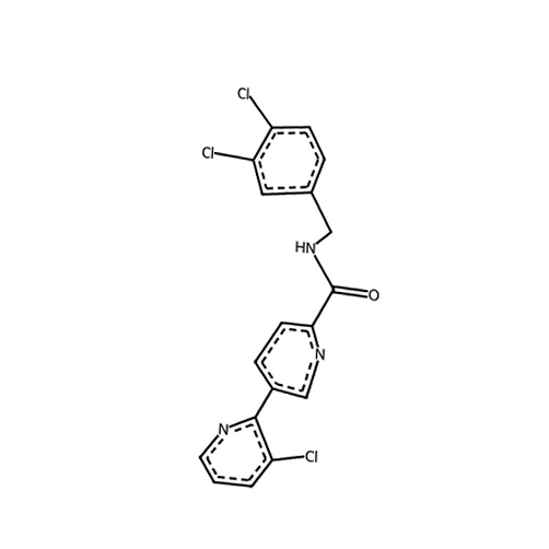 O=C(NCc1ccc(Cl)c(Cl)c1)c1ccc(-c2ncccc2Cl)cn1